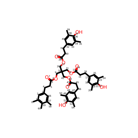 Cc1cc(CCC(=O)OCC(COC(=O)CCc2cc(C)c(O)c(C)c2)(COC(=O)CCc2cc(C)c(O)c(C)c2)COC(=O)CCc2cc(C)c(O)c(C)c2)cc(C)c1C